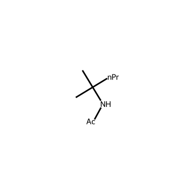 CCCC(C)(C)NC(C)=O